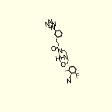 Cc1c([C@H]2CN3CCN(C(=O)CCc4cccc(-n5cnnn5)c4)C[C@H]3CO2)ccc(F)c1C#N